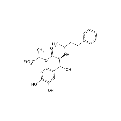 CCOC(=O)C(C)OC(=O)[C@@H](NC(C)CCc1ccccc1)C(O)c1ccc(O)c(O)c1